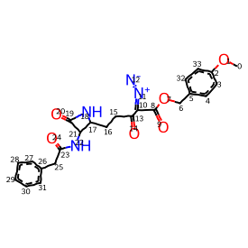 COc1ccc(COC(=O)C(=[N+]=[N-])C(=O)CCC2NC(=O)C2NC(=O)Cc2ccccc2)cc1